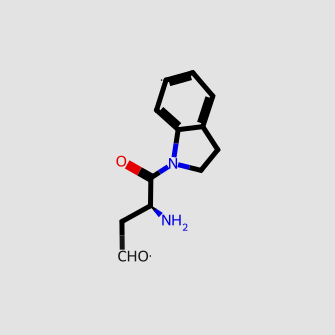 N[C@@H](C[C]=O)C(=O)N1CCc2cc[c]cc21